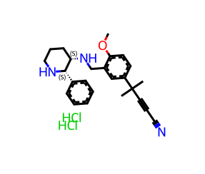 COc1ccc(C(C)(C)C#CC#N)cc1CN[C@H]1CCCN[C@H]1c1ccccc1.Cl.Cl